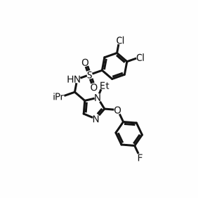 CCn1c(C(NS(=O)(=O)c2ccc(Cl)c(Cl)c2)C(C)C)cnc1Oc1ccc(F)cc1